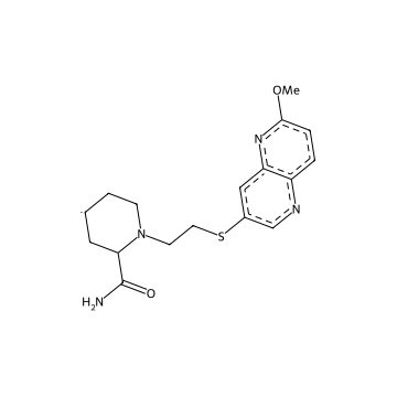 COc1ccc2ncc(SCCN3CC[CH]CC3C(N)=O)cc2n1